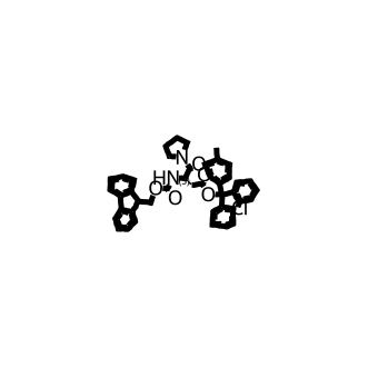 Cc1ccc(C(OC(=O)C[C@H](NC(=O)OCC2c3ccccc3-c3ccccc32)C(=O)N2CCCC2)(c2ccccc2)c2ccccc2Cl)cc1